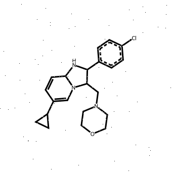 Clc1ccc(C2NC3C=CC(C4CC4)=CN3C2CN2CCOCC2)cc1